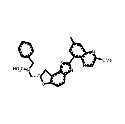 COc1cnc2c(-c3nc4ccc5c(c4s3)C[C@@H](CN(Cc3ccccc3)C(=O)O)O5)cc(C)cc2n1